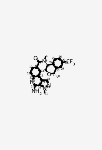 C[C@@H]1OC[C@H](N(C)C(=O)c2ccc3nc(N)c4c(cnn4C)c3c2)c2ccc(C(F)(F)F)cc21